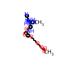 COC(=O)COCCCOCCCCCOc1ccc2c(c1)[C@@H](NC(=O)c1cccc(NC3(c4nnc(-c5ccncc5)[nH]4)CCN(C)CC3)c1)CCO2